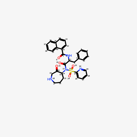 O=C(NC(Cc1ccccc1)C(=O)N([C@H]1CCCNCC1=O)S(=O)(=O)c1ccccn1)c1cccc2ccccc12